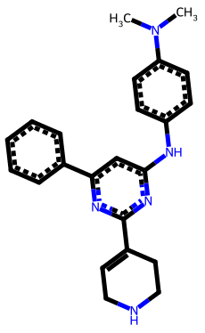 CN(C)c1ccc(Nc2cc(-c3ccccc3)nc(C3=CCNCC3)n2)cc1